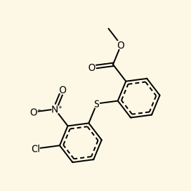 COC(=O)c1ccccc1Sc1cccc(Cl)c1[N+](=O)[O-]